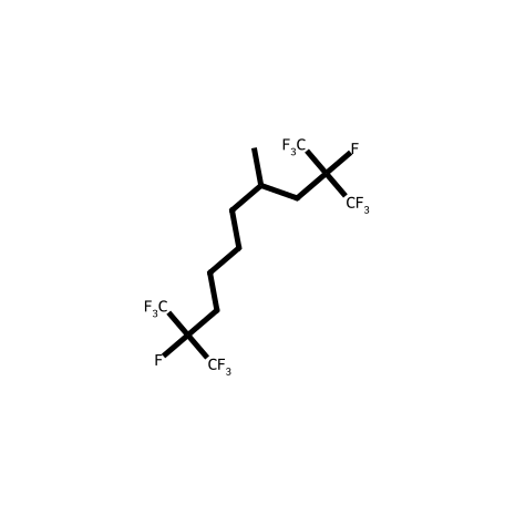 CC(CCCCC(F)(C(F)(F)F)C(F)(F)F)CC(F)(C(F)(F)F)C(F)(F)F